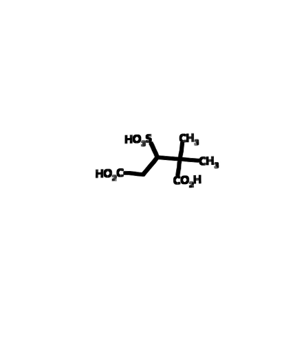 CC(C)(C(=O)O)C(CC(=O)O)S(=O)(=O)O